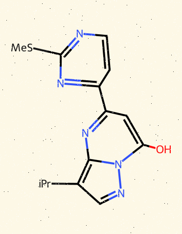 CSc1nccc(-c2cc(O)n3ncc(C(C)C)c3n2)n1